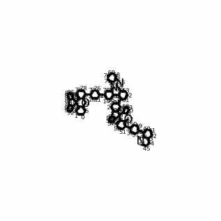 c1ccc2c(c1)Oc1c(-c3ccc(-c4ccc5c6c(-c7ccc8c(c7)C7(c9ccccc9Oc9c(-c%10ccc(-c%11cccc%12cccnc%11%12)cc%10)cccc97)c7ccccc7-8)cccc6c6nc7ccccc7n6c5c4)cc3)cccc1C21c2ccccc2-c2ccccc21